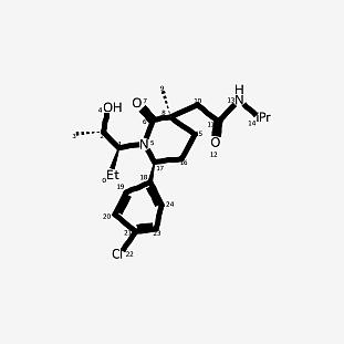 CC[C@@H]([C@H](C)O)N1C(=O)[C@@](C)(CC(=O)NC(C)C)CC[C@H]1c1ccc(Cl)cc1